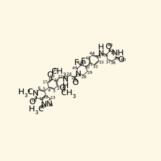 COc1cc(-c2cn(C)c(=O)c3c2cnn3C)cc(OC)c1CNCC(=O)N1CCC(c2ccc(NC3CCC(=O)NC3=O)cc2)C(F)(F)C1